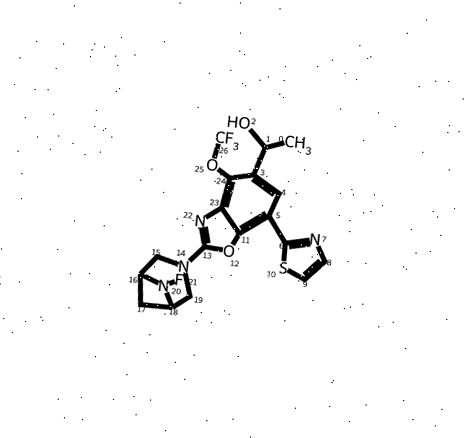 CC(O)c1cc(-c2nccs2)c2oc(N3CC4CC(C3)N4F)nc2c1OC(F)(F)F